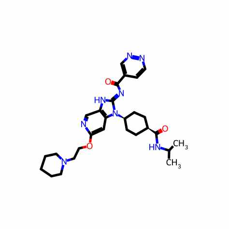 CC(C)NC(=O)[C@H]1CC[C@@H](n2/c(=N/C(=O)c3ccnnc3)[nH]c3cnc(OCCN4CCCCC4)cc32)CC1